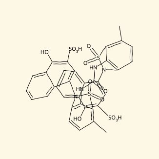 Cc1ccc2c(NC(=O)Nc3c4ccc(C)c3S(=O)(=O)N4c3cc(S(=O)(=O)O)c(O)c4ccccc34)c1S(=O)(=O)N2c1cc(S(=O)(=O)O)c(O)c2ccccc12